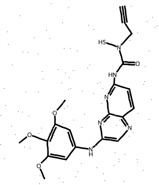 C#CCN(S)C(=O)Nc1ccc2ncc(Nc3cc(OC)c(OC)c(OC)c3)nc2n1